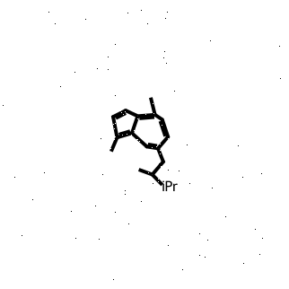 Cc1ccc(CC(C)C(C)C)cc2c(C)ccc1-2